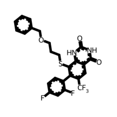 O=c1[nH]c(=O)c2cc(C(F)(F)F)c(-c3ccc(F)cc3F)c(SCCCOCc3ccccc3)c2[nH]1